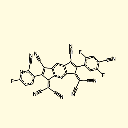 N#CC(C#N)=C1C(c2cc(F)c(C#N)cc2F)=C(C#N)c2cc3c(cc21)C(=C(C#N)C#N)C(c1ccc(F)nc1C#N)=C3C#N